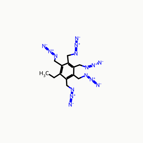 CCc1c(CN=[N+]=[N-])c(CN=[N+]=[N-])c(CN=[N+]=[N-])c(CN=[N+]=[N-])c1CN=[N+]=[N-]